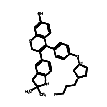 CC1(C)Cc2cc(C3=C(c4ccc(O[C@H]5CCN(CCCF)C5)cc4)c4ccc(O)cc4SC3)ccc2N1